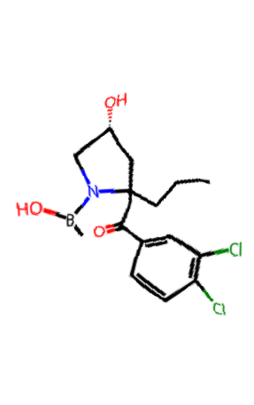 CCCC1(C(=O)c2ccc(Cl)c(Cl)c2)C[C@@H](O)CN1B(C)O